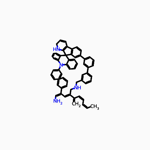 C=C(/C=C\C=C/C)/C(=C/C(=C\N)c1ccccc1)CNCc1cccc(-c2cccc(-c3ccc4c(c3)C3(C5=C4C=CCN5)c4ccccc4N(c4ccccc4)c4ccccc43)c2)c1